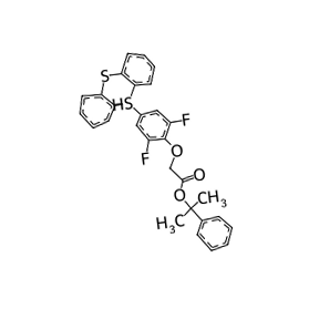 CC(C)(OC(=O)COc1c(F)cc([SH]2c3ccccc3Sc3ccccc32)cc1F)c1ccccc1